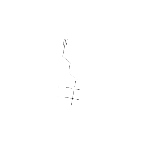 C#CCCO[SiH2][Si](C)(C)C(C)(C)C